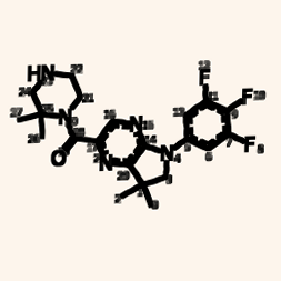 CC1(C)CN(c2cc(F)c(F)c(F)c2)c2ncc(C(=O)N3CCNCC3(C)C)nc21